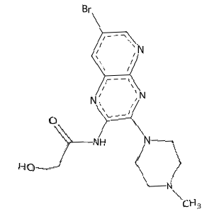 CN1CCN(c2nc3ncc(Br)cc3nc2NC(=O)CO)CC1